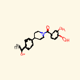 CCCC(O)c1ccc(C2CCN(C(=O)c3ccc(O)c(O)c3)CC2)cc1